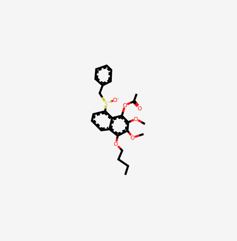 CCCCOc1c(OC)c(OC)c(OC(C)=O)c2c([S+]([O-])Cc3ccccc3)cccc12